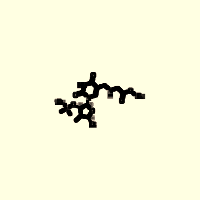 CC[C@H]1O[C@@H](n2cc(CNCC(=O)OC(C)(C)C)c(=O)[nH]c2=O)[C@@H](O[Si](C)(C)C(C)(C)C)C1C